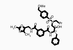 COCc1ccc(S(=O)(=O)N(CC(C)C)C[C@@H](O)[C@H](Cc2ccccc2)NC(=O)c2cccc(C(=O)NCc3oc(C)nc3C)c2)cc1